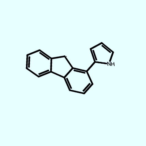 [CH]1c2ccccc2-c2cccc(-c3ccc[nH]3)c21